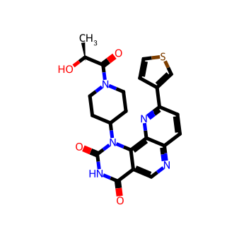 C[C@H](O)C(=O)N1CCC(n2c(=O)[nH]c(=O)c3cnc4ccc(-c5ccsc5)nc4c32)CC1